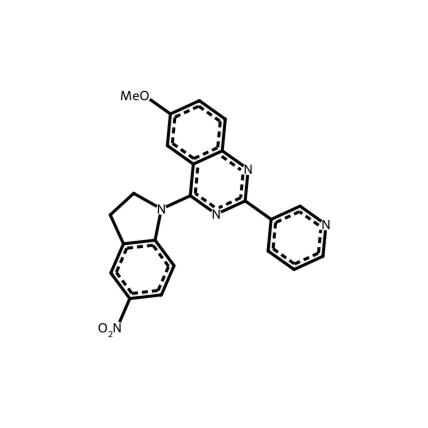 COc1ccc2nc(-c3cccnc3)nc(N3CCc4cc([N+](=O)[O-])ccc43)c2c1